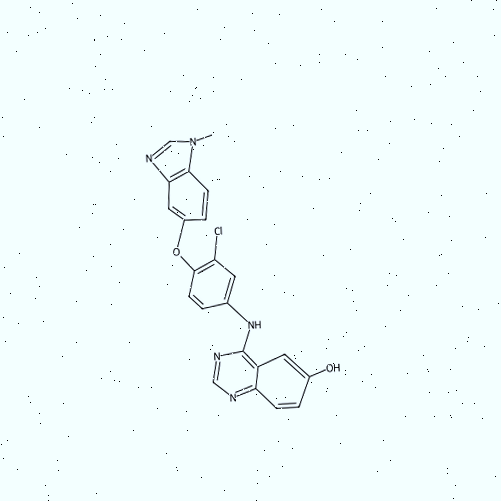 Cn1cnc2cc(Oc3ccc(Nc4ncnc5ccc(O)cc45)cc3Cl)ccc21